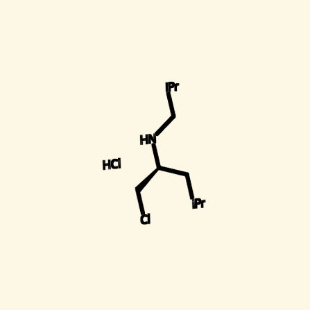 CC(C)CN[C@H](CCl)CC(C)C.Cl